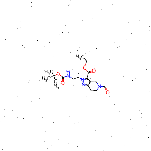 CCOC(=O)c1c2c(nn1CCNC(=O)OC(C)(C)C)CCN(C=O)C2